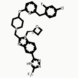 Fc1cc(Cl)ccc1Cc1cccc(OC2CCN(Cc3nc4cc(-c5nnc(C(F)(F)F)[nH]5)ccc4n3C[C@@H]3CCO3)CC2)n1